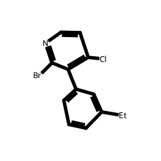 CCc1cccc(-c2c(Cl)ccnc2Br)c1